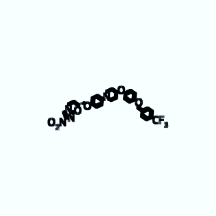 O=[N+]([O-])c1cn2c(n1)O[C@@H](COc1ccc(N3CCC(Oc4ccc(OCc5ccc(C(F)(F)F)cc5)cc4)CC3)cc1)CC2